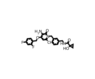 Cc1cc(OCc2ccc(F)cc2F)c(N)c(=O)n1Cc1cccc(CNC(=O)C2(O)CC2)c1